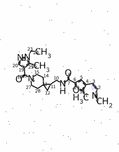 C=N/C=C\c1cc(C(=O)NCC2CC23CCN(C(=O)c2cnn(CC)c2C)CC3)oc1C